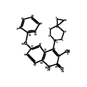 N#Cc1c(N2CCC3(CC2)CC3)c2cc(Oc3ncccn3)ccc2[nH]c1=O